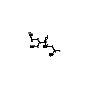 CC(O)CNC(=O)C(CS)CCS